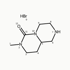 Br.CN1CCC2CNCCN2C1=O